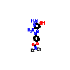 CCN(CC)C(=O)Oc1ccc(/N=N/c2cc(O)c(N)nc2N)cc1